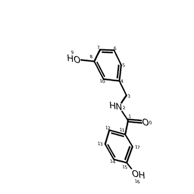 O=C(NCc1cccc(O)c1)c1cccc(O)c1